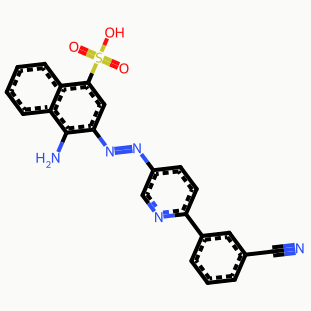 N#Cc1cccc(-c2ccc(N=Nc3cc(S(=O)(=O)O)c4ccccc4c3N)cn2)c1